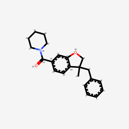 CC1(Cc2ccccc2)COc2cc(C(=O)N3CCCCC3)ccc21